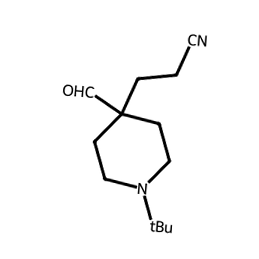 CC(C)(C)N1CCC(C=O)(CCC#N)CC1